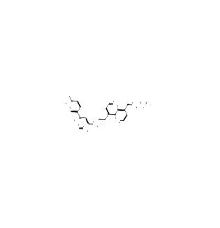 CNC(=O)c1ccnc2c(CCNc3cc(-c4ccc(C)nc4)ncn3)ccnc12